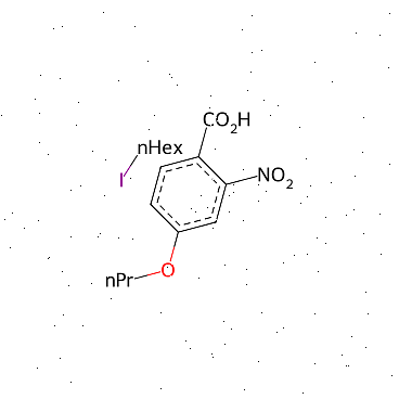 CCCCCCI.CCCOc1ccc(C(=O)O)c([N+](=O)[O-])c1